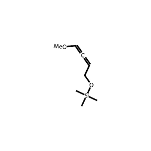 COC=C=CCO[Si](C)(C)C